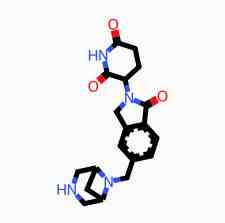 O=C1CCC(N2Cc3cc(CN4C5CNCC4C5)ccc3C2=O)C(=O)N1